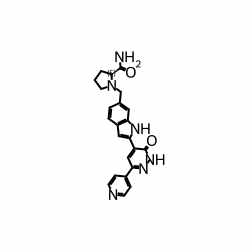 NC(=O)[C@@H]1CCCN1Cc1ccc2cc(-c3cc(-c4ccncc4)n[nH]c3=O)[nH]c2c1